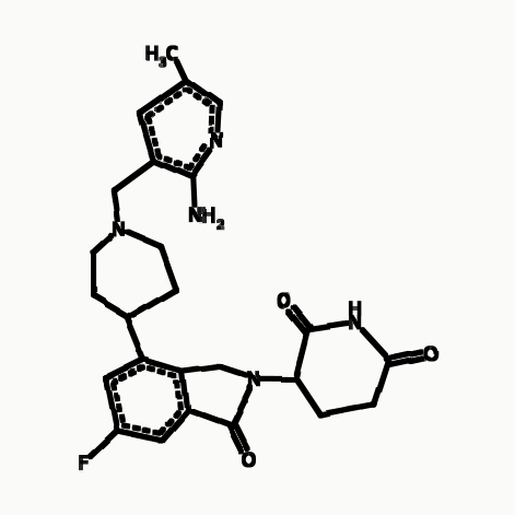 Cc1cnc(N)c(CN2CCC(c3cc(F)cc4c3CN(C3CCC(=O)NC3=O)C4=O)CC2)c1